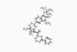 Cn1c(=O)n(CC(C)(C)C)c2ccc(C3CCC(C)(C)C(NC(=O)C4CCCN(c5ccccn5)C4)C3)nc21